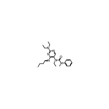 [CH2]CCC=Nc1nc(N(CC)CC)ncc1N(CC)C(=O)N(C)c1ccccc1